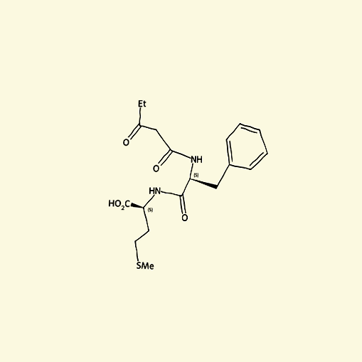 CCC(=O)CC(=O)N[C@@H](Cc1ccccc1)C(=O)N[C@@H](CCSC)C(=O)O